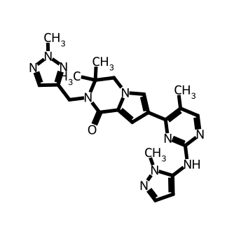 Cc1cnc(Nc2ccnn2C)nc1-c1cc2n(c1)CC(C)(C)N(Cc1cnn(C)n1)C2=O